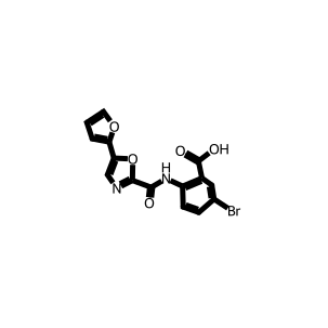 O=C(Nc1ccc(Br)cc1C(=O)O)c1ncc(-c2ccco2)o1